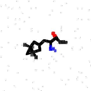 COC(=O)C(N)CC1C[C@@H]2C[C@@H]2C1